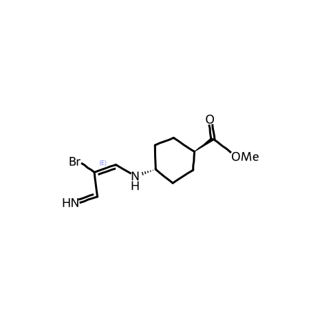 COC(=O)[C@H]1CC[C@H](N/C=C(/Br)C=N)CC1